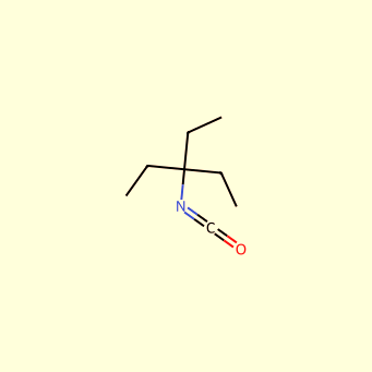 CCC(CC)(CC)N=C=O